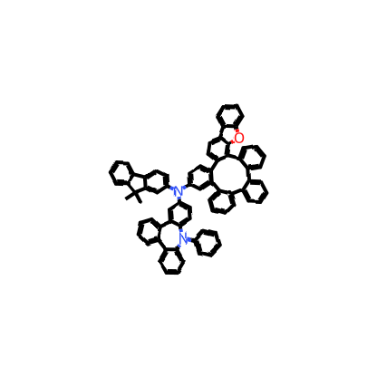 CC1(C)c2ccccc2-c2ccc(N(c3ccc4c(c3)-c3ccccc3-c3ccccc3N4c3ccccc3)c3ccc4c(c3)c3ccccc3c3ccccc3c3ccccc3c3c4ccc4c5ccccc5oc43)cc21